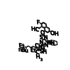 C#Cc1c(F)ccc2cc(O)cc(Oc3nc4c(N5CC6CCC(C5)N6)nc(OC[C@](C)(S)C(C)(CC)CCCC(CC)CCCC)nc4s3)c12